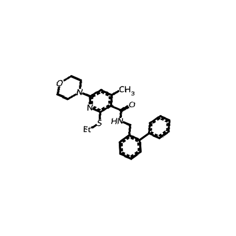 CCSc1nc(N2CCOCC2)cc(C)c1C(=O)NCc1ccccc1-c1ccccc1